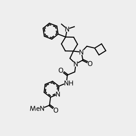 CNC(=O)c1cccc(NC(=O)CN2CC3(CCC(c4ccccc4)(N(C)C)CC3)N(CC3CCC3)C2=O)n1